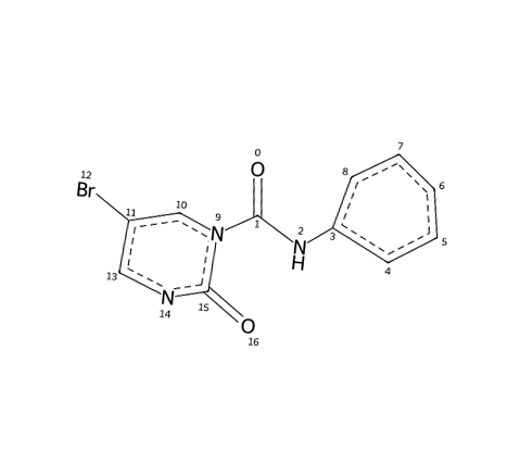 O=C(Nc1ccccc1)n1cc(Br)cnc1=O